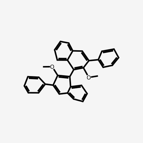 COc1c(-c2ccccc2)cc2ccccc2c1-c1c(OC)c(-c2ccccc2)cc2ccccc12